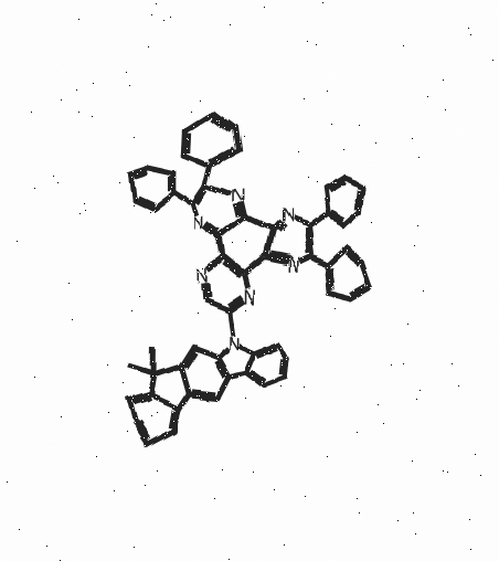 CC1(C)c2ccccc2-c2cc3c4ccccc4n(-c4cnc5c(n4)c4nc(-c6ccccc6)c(-c6ccccc6)nc4c4nc(-c6ccccc6)c(-c6ccccc6)nc54)c3cc21